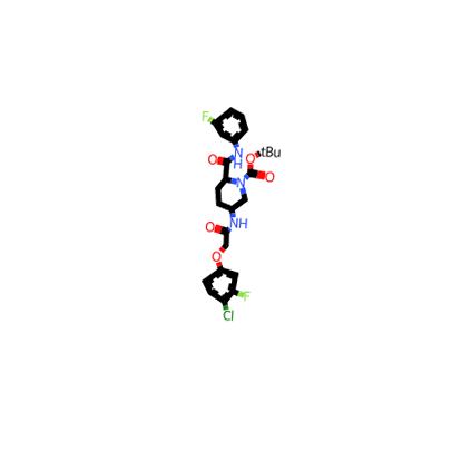 CC(C)(C)OC(=O)N1CC(NC(=O)COc2ccc(Cl)c(F)c2)CCC1C(=O)Nc1cccc(F)c1